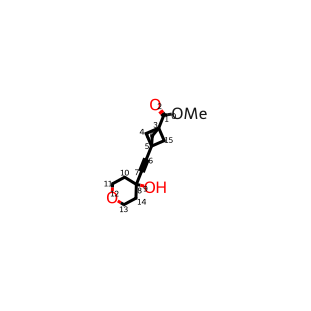 COC(=O)C12CC(C#CC3(O)CCOCC3)(C1)C2